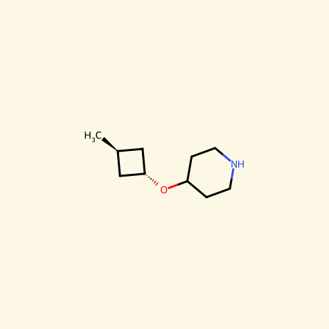 C[C@H]1C[C@H](OC2CCNCC2)C1